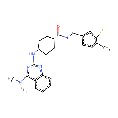 Cc1ccc(CNC(=O)[C@H]2CC[C@@H](Nc3nc(N(C)C)c4ccccc4n3)CC2)cc1F